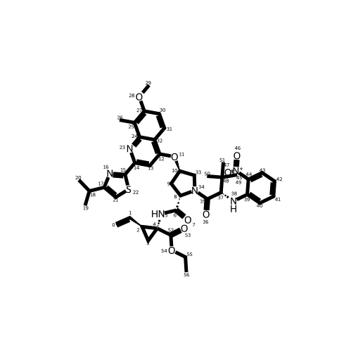 C=C[C@@H]1C[C@]1(NC(=O)[C@@H]1C[C@@H](Oc2cc(-c3nc(C(C)C)cs3)nc3c(C)c(OC)ccc23)CN1C(=O)[C@@H](Nc1ccccc1[N+](=O)[O-])C(C)(C)C)C(=O)OCC